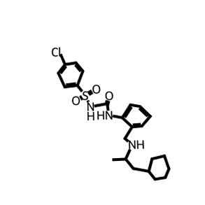 CC(CC1CCCCC1)NCc1ccccc1NC(=O)NS(=O)(=O)c1ccc(Cl)cc1